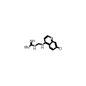 CC(C)(C)C(=N)NCNc1ccnc2cc(Cl)ccc12